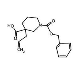 C=CCC1(C(=O)O)CCCN(C(=O)OCc2ccccc2)C1